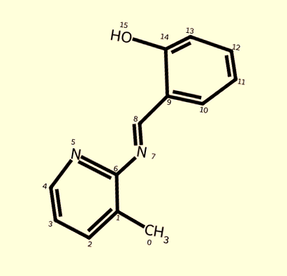 Cc1cccnc1N=Cc1ccccc1O